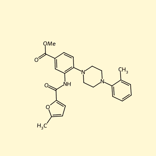 COC(=O)c1ccc(N2CCN(c3ccccc3C)CC2)c(NC(=O)c2ccc(C)o2)c1